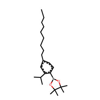 CCCCCCCCCc1ccc(B2OC(C)(C)C(C)(C)O2)c(C(C)C)c1